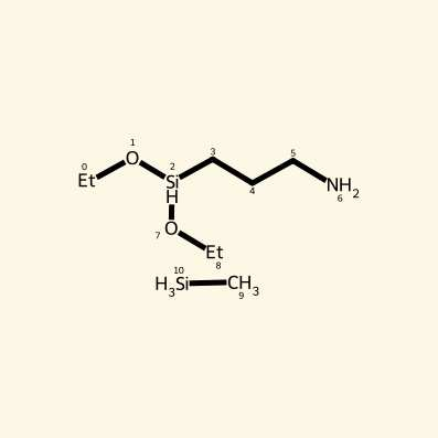 CCO[SiH](CCCN)OCC.C[SiH3]